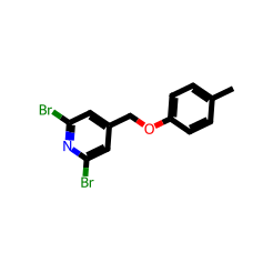 Cc1ccc(OCc2cc(Br)nc(Br)c2)cc1